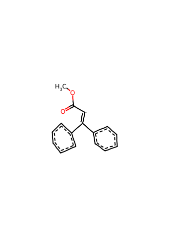 COC(=O)[C]=C(c1ccccc1)c1ccccc1